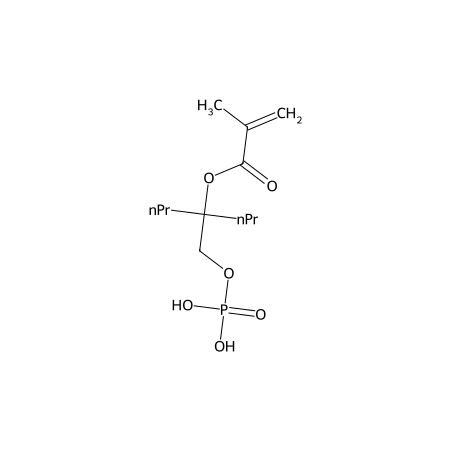 C=C(C)C(=O)OC(CCC)(CCC)COP(=O)(O)O